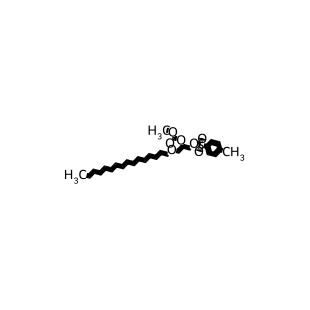 CCCCCCCCCCCCCCCCOCC(COS(=O)(=O)c1ccc(C)cc1)OC(=O)OC